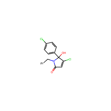 CC(C)CN1C(=O)C=C(Cl)C1(O)c1ccc(Cl)cc1